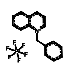 F[P-](F)(F)(F)(F)F.c1ccc(C[n+]2cccc3ccccc32)cc1